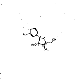 CC(=O)O[C@@H]1[C@H](OC(C)=O)[C@@H](CO)O[C@H]1N1C=CCC(C(C)=O)=C1